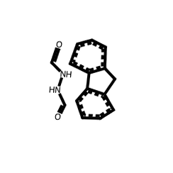 O=CNNC=O.c1ccc2c(c1)Cc1ccccc1-2